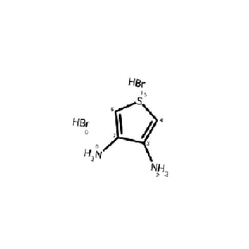 Br.Br.Nc1cscc1N